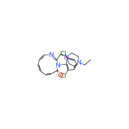 CCN1CCN(Cc2nccccccc(=O)n2-c2c(Cl)cccc2Cl)CC1